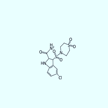 NC(=O)C1Nc2ccc(Cl)cc2C1S(=O)(=O)N1CCS(=O)(=O)CC1